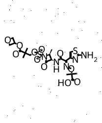 C[C@H]1[C@H](NC(=O)/C(=N/OC(C)(C)C(=O)O)c2csc(N)n2)C(=O)N1S(=O)(=O)OCC(C)(C)C(=O)OC1COC1